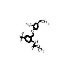 CCc1ccc(OCc2cc(C(F)(F)F)ccc2NC(=S)OC)c(C)c1